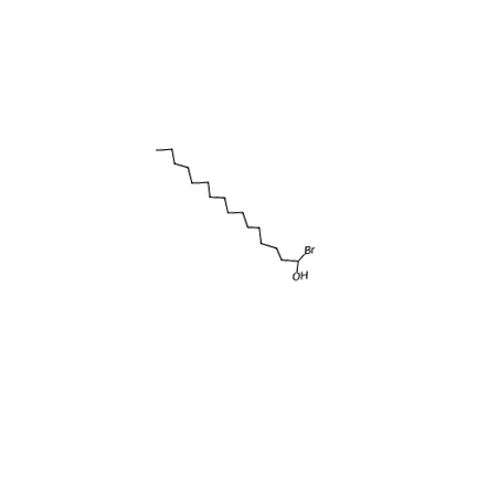 CCCCCCCCCCCCCCCC(O)Br